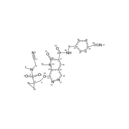 CN(CC#N)S(=O)(=O)C1(COc2nncc3cc(C(=O)NCc4ccc(C#N)cc4)c(=O)n(C)c23)CC1